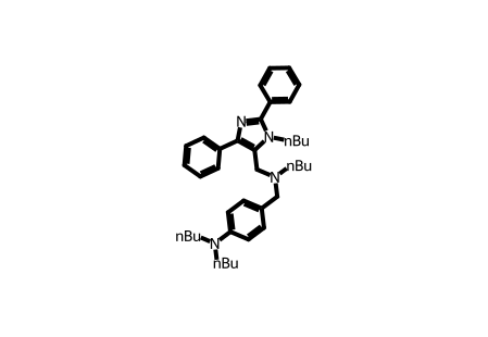 CCCCN(Cc1ccc(N(CCCC)CCCC)cc1)Cc1c(-c2ccccc2)nc(-c2ccccc2)n1CCCC